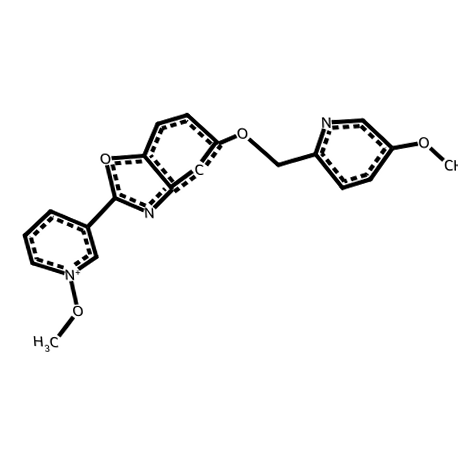 COc1ccc(COc2ccc3oc(-c4ccc[n+](OC)c4)nc3c2)nc1